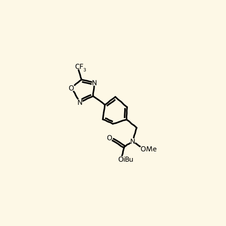 CON(Cc1ccc(-c2noc(C(F)(F)F)n2)cc1)C(=O)OCC(C)C